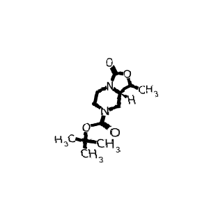 CC1OC(=O)N2CCN(C(=O)OC(C)(C)C)C[C@@H]12